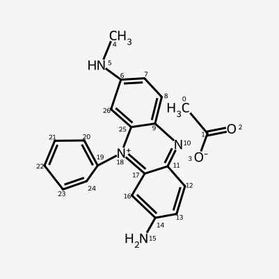 CC(=O)[O-].CNc1ccc2nc3ccc(N)cc3[n+](-c3ccccc3)c2c1